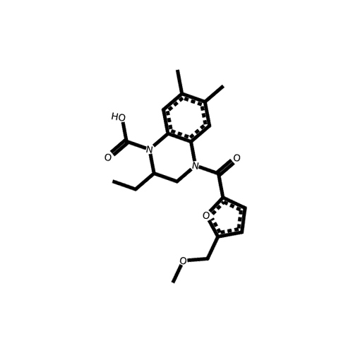 CCC1CN(C(=O)c2ccc(COC)o2)c2cc(C)c(C)cc2N1C(=O)O